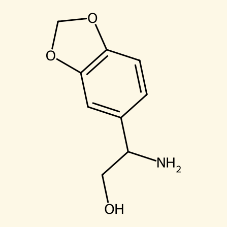 NC(CO)c1ccc2c(c1)OCO2